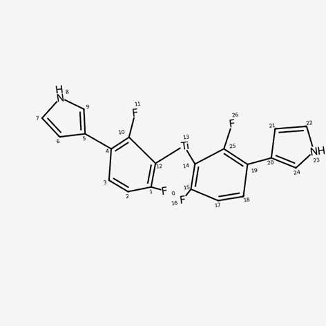 Fc1ccc(-c2cc[nH]c2)c(F)[c]1[Ti][c]1c(F)ccc(-c2cc[nH]c2)c1F